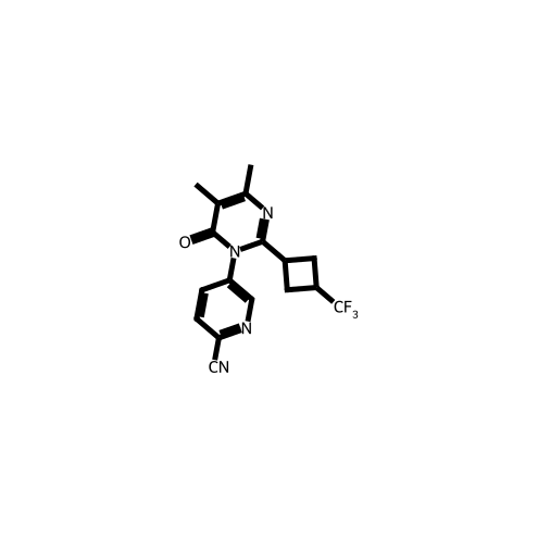 Cc1nc(C2CC(C(F)(F)F)C2)n(-c2ccc(C#N)nc2)c(=O)c1C